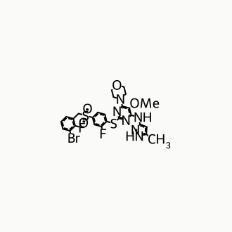 COc1c(Nc2cc(C)[nH]n2)nc(Sc2ccc(S(=O)(=O)Cc3cccc(Br)c3F)cc2F)nc1N1CCOCC1